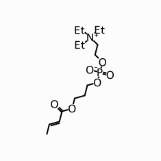 CC=CC(=O)OCCCOP(=O)([O-])OCC[N+](CC)(CC)CC